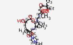 CC[C@H](O)[C@@H](C)[C@H]1O[C@@H]1CC(C)(O)/C=C/C=C(\C)[C@H]1OC(=O)C[C@H](O)CC[C@@](C)(OC(C)=O)[C@@H](OC(=O)N2CCN(C)CC2)/C=C/[C@@H]1C